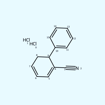 Cl.Cl.N#CC1=CC=CCC1c1ccccc1